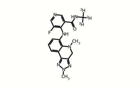 [2H]C([2H])([2H])NC(=O)c1cncc(F)c1Nc1cccc2c1N(C)Cc1nn(C)nc1-2